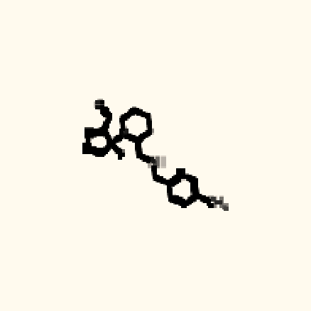 Cc1ccc(CNCC2CCCCN2C2(F)C=NN=C2C=O)nc1